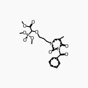 COC(=O)C(OCCCn1cc(C)c(=O)n(C(=O)c2ccccc2)c1=O)P(=O)(OC)OC